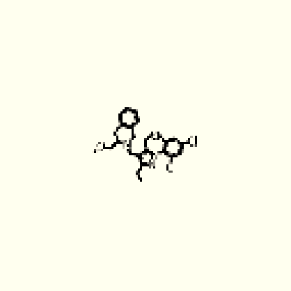 CCc1nn(-c2c(Cl)cc(Cl)cc2Cl)c(CC)c1CN1Cc2ccccc2CC1COC